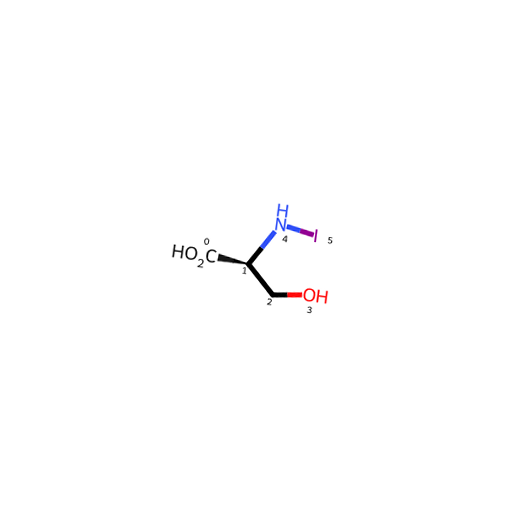 O=C(O)[C@H](CO)NI